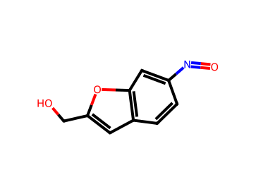 O=Nc1ccc2cc(CO)oc2c1